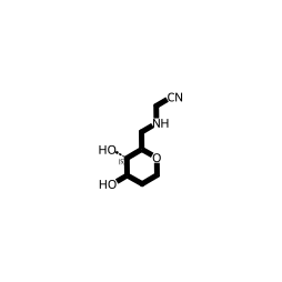 N#CCNCC1OCCC(O)[C@@H]1O